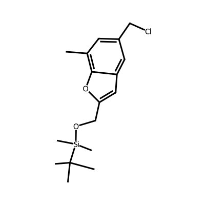 Cc1cc(CCl)cc2cc(CO[Si](C)(C)C(C)(C)C)oc12